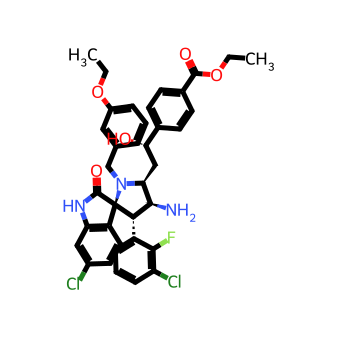 CCOC(=O)c1ccc([C@@H](O)C[C@H]2[C@@H](N)[C@H](c3cccc(Cl)c3F)[C@]3(C(=O)Nc4cc(Cl)ccc43)N2Cc2cccc(OCC)c2)cc1